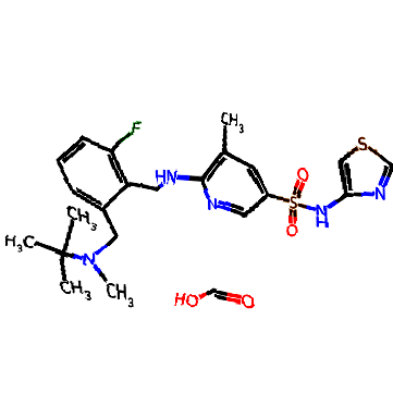 Cc1cc(S(=O)(=O)Nc2cscn2)cnc1NCc1c(F)cccc1CN(C)C(C)(C)C.O=CO